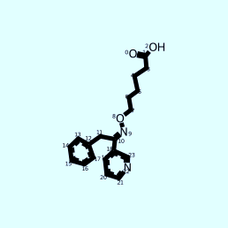 O=C(O)CCCCCO/N=C(\Cc1ccccc1)c1cccnc1